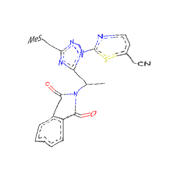 CSc1nc(C(C)N2C(=O)c3ccccc3C2=O)n(-c2ncc(C#N)s2)n1